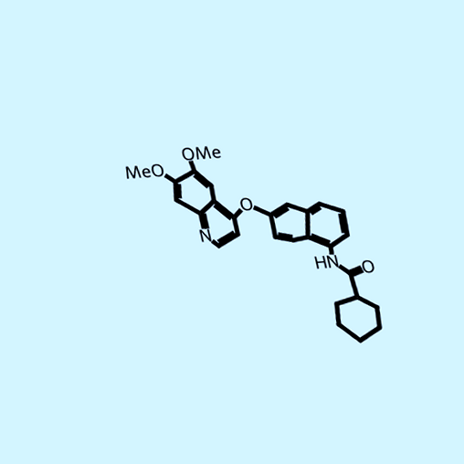 COc1cc2nccc(Oc3ccc4c(NC(=O)C5CCCCC5)cccc4c3)c2cc1OC